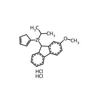 COc1ccc2c(c1)[CH]([Zr]([C]1=CC=CC1)[CH](C)C)c1ccccc1-2.Cl.Cl